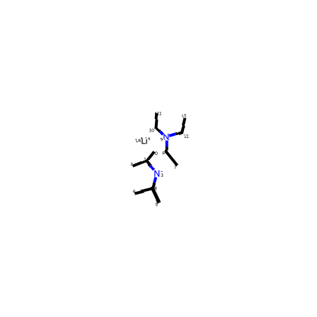 CC(C)[N-]C(C)C.CCN(CC)CC.[Li+]